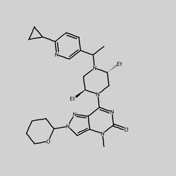 CC[C@H]1CN(C(C)c2ccc(C3CC3)nc2)[C@H](CC)CN1c1nc(=O)n(C)c2cn(C3CCCCO3)nc12